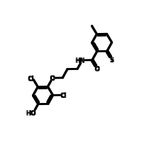 CC1=CCC(=S)C(C(=O)NCCCOc2c(Cl)cc(O)cc2Cl)=C1